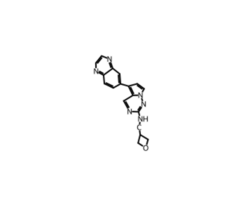 c1cnc2cc(-c3ccn4nc(NCC5COC5)ncc34)ccc2n1